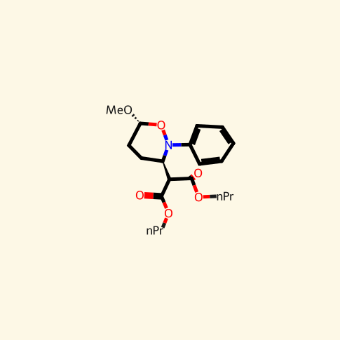 CCCOC(=O)C(C(=O)OCCC)[C@H]1CC[C@H](OC)ON1c1ccccc1